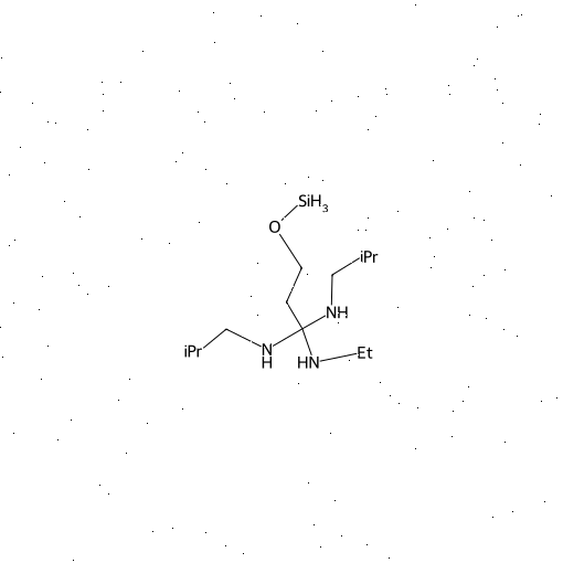 CCNC(CCO[SiH3])(NCC(C)C)NCC(C)C